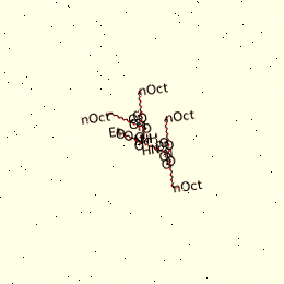 CCCCCCCC/C=C\CCCCCCCC(=O)OCCN(CCOC(=O)CCCCCCC/C=C\CCCCCCCC)C(=O)CCC(=O)NCCCC[C@H](NC(=O)CCC(=O)N(CCOC(=O)CCCCCCC/C=C\CCCCCCCC)CCOC(=O)CCCCCCC/C=C\CCCCCCCC)C(=O)NCCCOCCOCC